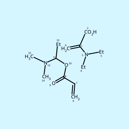 C=C(C(=O)O)N(CC)CC.C=CC(=O)OC(CC)N(C)C